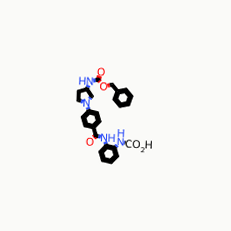 O=C(O)Nc1ccccc1NC(=O)c1ccc(N2CCC(NC(=O)OCc3ccccc3)C2)cc1